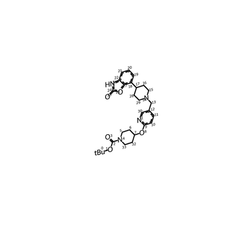 CC(C)(C)OC(=O)N1CCC(Oc2ccc(CN3CCC(c4cccc5[nH]c(=O)oc45)CC3)cn2)CC1